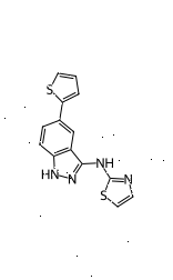 c1csc(-c2ccc3[nH]nc(Nc4nccs4)c3c2)c1